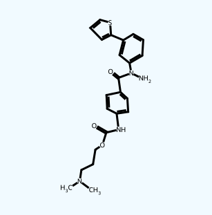 CN(C)CCCOC(=O)Nc1ccc(C(=O)N(N)c2cccc(-c3cccs3)c2)cc1